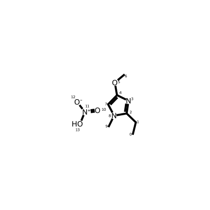 CCc1nc(OC)cn1C.O=[N+]([O-])O